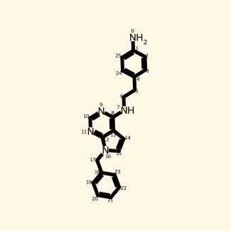 Nc1ccc(CCNc2ncnc3c2ccn3Cc2ccccc2)cc1